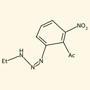 CCN/N=N\c1cccc([N+](=O)[O-])c1C(C)=O